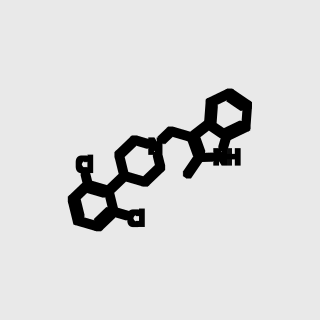 Cc1[nH]c2ccccc2c1CN1CCC(c2c(Cl)cccc2Cl)CC1